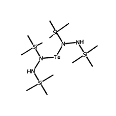 C[Si](C)(C)NN([Te]N(N[Si](C)(C)C)[Si](C)(C)C)[Si](C)(C)C